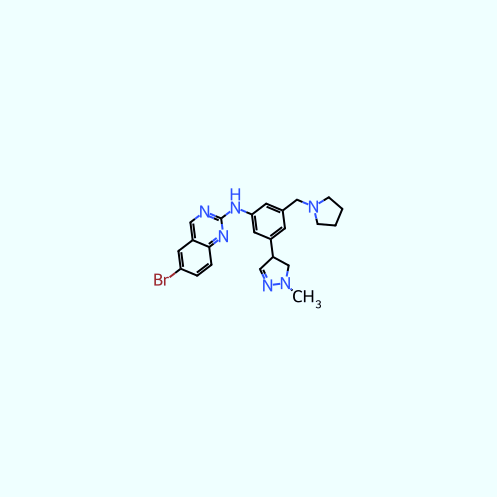 CN1CC(c2cc(CN3CCCC3)cc(Nc3ncc4cc(Br)ccc4n3)c2)C=N1